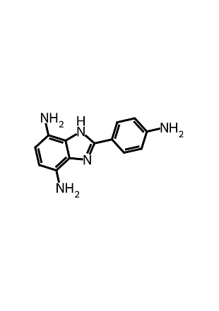 Nc1ccc(-c2nc3c(N)ccc(N)c3[nH]2)cc1